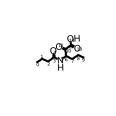 CCCC(=O)NC(CCC)C(=O)C(=O)O